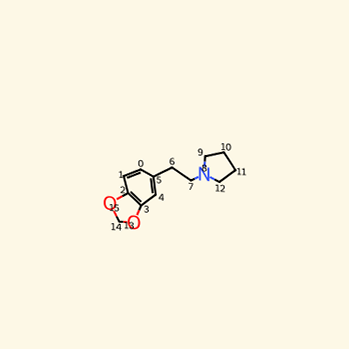 c1cc2c(cc1CCN1CCCC1)OCO2